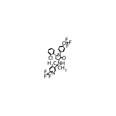 CC(C)(N[C@H]1C[C@@H](c2ccccc2Cl)N(c2ccc(OC(F)(F)F)cc2)C1=O)c1ccc(C(F)(F)F)nc1